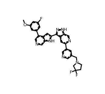 COc1cc(F)cc(-c2cncc3[nH]c(-c4n[nH]c5cnc(-c6cncc(CN7CCC(F)(F)C7)c6)cc45)cc23)c1